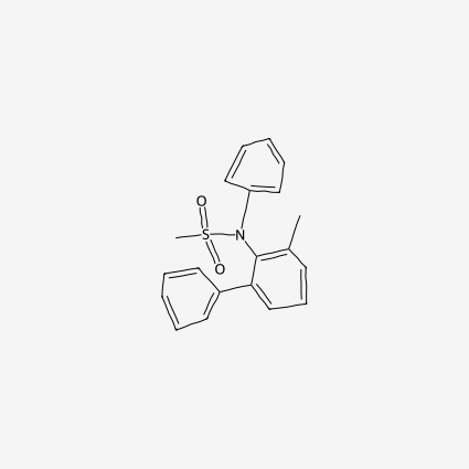 Cc1cccc(-c2ccccc2)c1N(c1ccccc1)S(C)(=O)=O